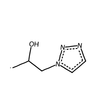 [CH2]C(O)Cn1ccnn1